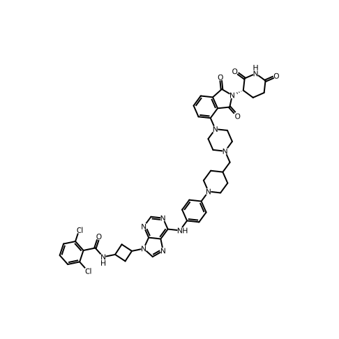 O=C1CC[C@H](N2C(=O)c3cccc(N4CCN(CC5CCN(c6ccc(Nc7ncnc8c7ncn8C7CC(NC(=O)c8c(Cl)cccc8Cl)C7)cc6)CC5)CC4)c3C2=O)C(=O)N1